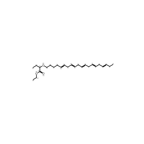 CCC=CCC=CCC=CCC=CCC=CCCCCOC(CC)C(=O)OCC